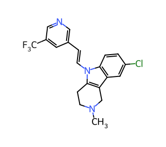 CN1CCc2c(c3cc(Cl)ccc3n2C=Cc2cncc(C(F)(F)F)c2)C1